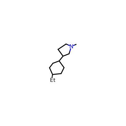 CCC1CCC(C2CCN(C)C2)CC1